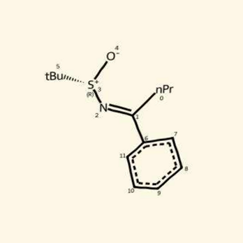 CCCC(=N[S@@+]([O-])C(C)(C)C)c1ccccc1